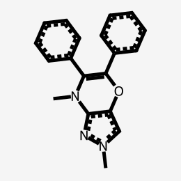 CN1C(c2ccccc2)=C(c2ccccc2)Oc2cn(C)nc21